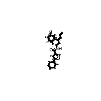 C=C/C=C(/CCNC(=O)C1=NOC(C2CCCCC2)C1)c1cc(Cl)ccc1C